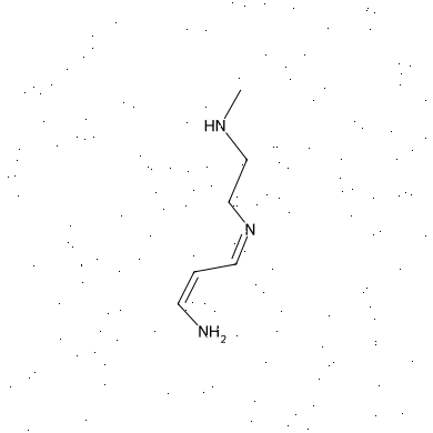 CNCC/N=C\C=C/N